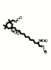 CC1(C)CC(C)(CN=C=O)CC(CCCCCCCCCCC(CN=C=O)N=C=O)(N=C=O)C1